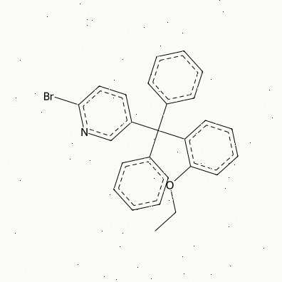 CCOc1ccccc1C(c1ccccc1)(c1ccccc1)c1ccc(Br)nc1